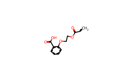 C=CC(=O)OCCOc1ccccc1C(=O)O